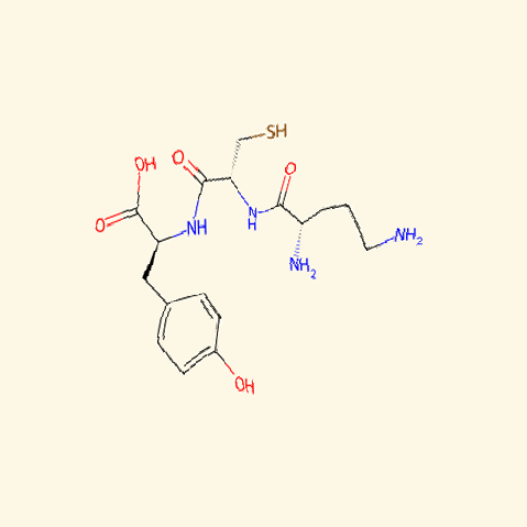 NCC[C@H](N)C(=O)N[C@@H](CS)C(=O)N[C@@H](Cc1ccc(O)cc1)C(=O)O